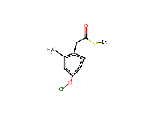 CCSC(=O)Cc1ccc(OCl)cc1C